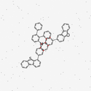 c1ccc(-c2ccccc2-c2c(-c3ccccc3)cccc2N(c2ccc(-c3ccc4oc5ccccc5c4c3)cc2)c2ccc(-c3cccc4c3sc3ccccc34)cc2)cc1